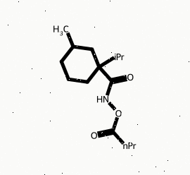 CCCC(=O)ONC(=O)C1(C(C)C)CCCC(C)C1